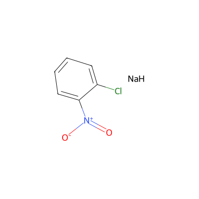 O=[N+]([O-])c1ccccc1Cl.[NaH]